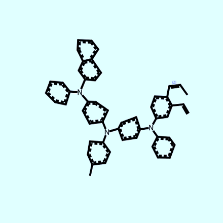 C=Cc1cc(N(c2ccccc2)c2ccc(N(c3ccc(C)cc3)c3ccc(N(c4ccccc4)c4ccc5ccccc5c4)cc3)cc2)ccc1/C=C\C